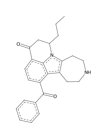 CCCC1CC(=O)c2ccc(C(=O)c3ccccc3)c3c4c(n1c23)CCNCC4